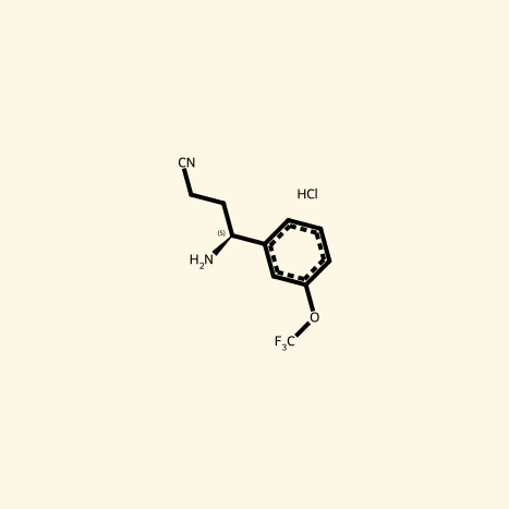 Cl.N#CCC[C@H](N)c1cccc(OC(F)(F)F)c1